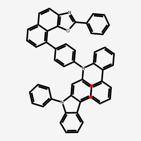 c1ccc(-c2nc3ccc4cccc(-c5ccc(N(c6ccc7c8ccccc8n(-c8ccccc8)c7c6)c6ccccc6-c6ccccc6)cc5)c4c3o2)cc1